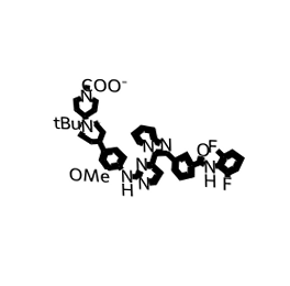 COc1cc(C2CC[N+](C3CCN(C(=O)[O-])CC3)(C(C)(C)C)CC2)ccc1Nc1nccc(-c2c(-c3cccc(C(=O)Nc4c(F)cccc4F)c3)nc3ccccn23)n1